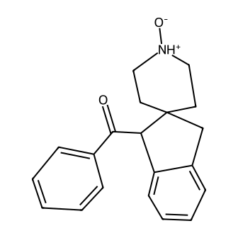 O=C(c1ccccc1)C1c2ccccc2CC12CC[NH+]([O-])CC2